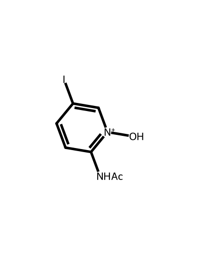 CC(=O)Nc1ccc(I)c[n+]1O